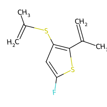 C=C(C)Sc1cc(F)sc1C(=C)C